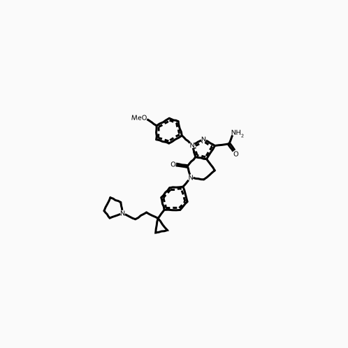 COc1ccc(-n2nc(C(N)=O)c3c2C(=O)N(c2ccc(C4(CCN5CCCC5)CC4)cc2)CC3)cc1